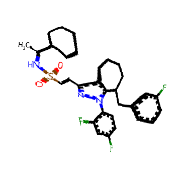 C[C@H](NS(=O)(=O)/C=C/c1nn(-c2ccc(F)cc2F)c2c1CCCCC2Cc1cccc(F)c1)C1CCCCC1